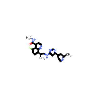 CNC(=O)c1ccnc2c([C@H](C)CNc3cc(-c4ccnc(C)c4)ncn3)ccc(F)c12